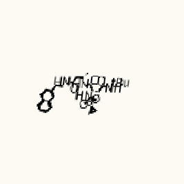 C[C@@H](CC(=O)NCCc1ccc2ccccc2c1)NC(=O)[C@H](CC(=O)NC(C)(C)C)NS(=O)(=O)C1CC1